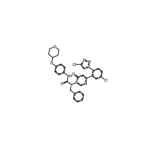 O=C(Nc1ccc(OC2CCOCC2)cc1)[C@H](Cc1ccccc1)n1cnc(-c2cc(Cl)ccc2-n2cc(Cl)nn2)cc1=O